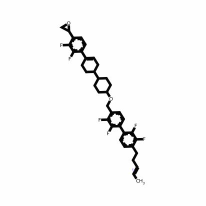 C/C=C/CCc1ccc(-c2ccc(COC3CCC(C4CC=C(c5ccc(C6CO6)c(F)c5F)CC4)CC3)c(F)c2F)c(F)c1F